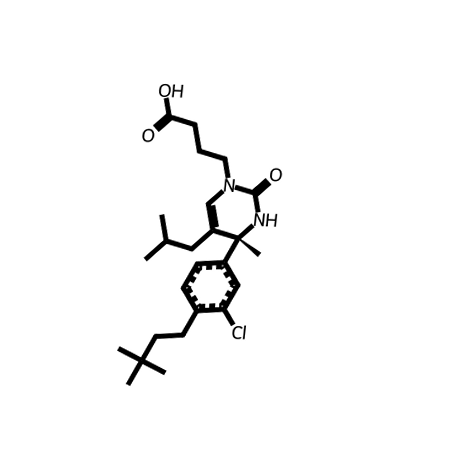 CC(C)CC1=CN(CCCC(=O)O)C(=O)N[C@]1(C)c1ccc(CCC(C)(C)C)c(Cl)c1